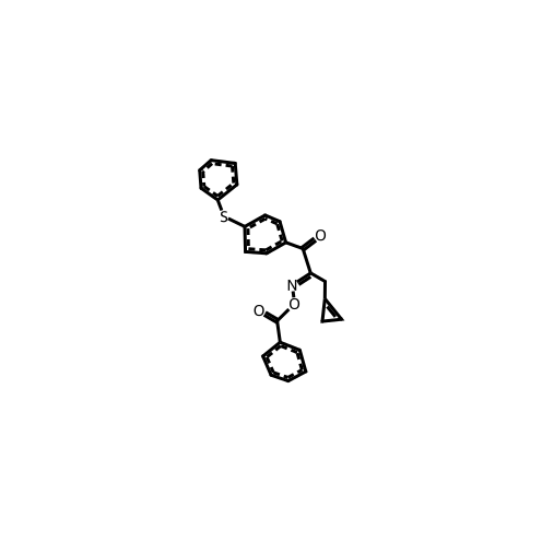 O=C(ON=C(CC1=CC1)C(=O)c1ccc(Sc2ccccc2)cc1)c1ccccc1